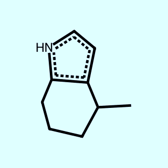 CC1CCCc2[nH]ccc21